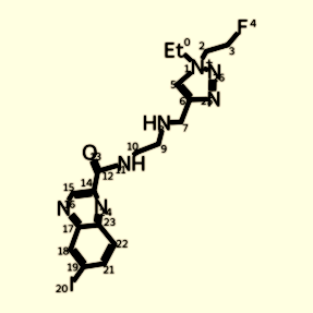 CC[N+]1(CCF)C=C(CNCCNC(=O)c2cnc3cc(I)ccc3n2)N=N1